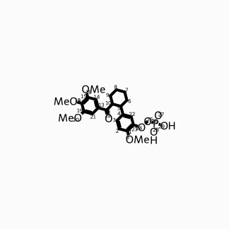 COc1ccc(C2CCCCC2C(=O)c2cc(OC)c(OC)c(OC)c2)cc1OOP(=O)(O)O